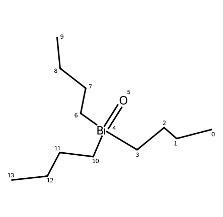 CCC[CH2][Bi](=[O])([CH2]CCC)[CH2]CCC